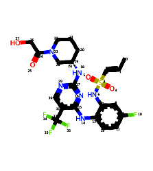 CC=CS(=O)(=O)Nc1cc(F)ccc1Nc1nc(N[C@H]2CCCN(C(=O)CO)C2)ncc1C(F)(F)F